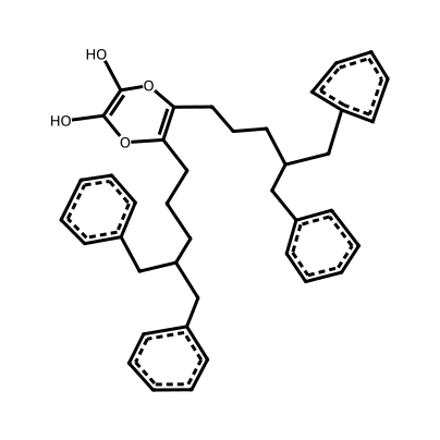 OC1=C(O)OC(CCCC(Cc2ccccc2)Cc2ccccc2)=C(CCCC(Cc2ccccc2)Cc2ccccc2)O1